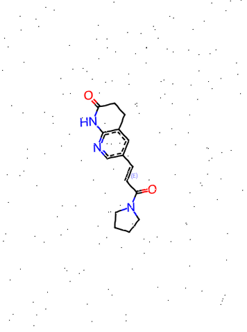 O=C1CCc2cc(/C=C/C(=O)N3CCCC3)cnc2N1